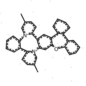 Cc1ccc2c3cc4c(cc3[n+]3cc(C)ccc3c3ccccc3[n+]2c1)oc1ccccc1c1ccccc41